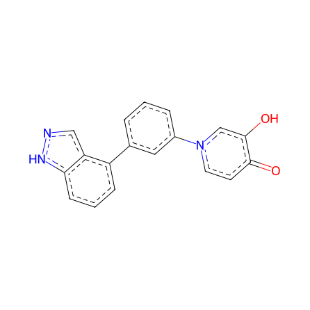 O=c1ccn(-c2cccc(-c3cccc4[nH]ncc34)c2)cc1O